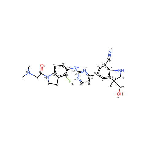 CN(C)CC(=O)N1CCc2c1ccc(Nc1nccc(-c3cc(C#N)c4c(c3)C(C)(CO)CN4)n1)c2F